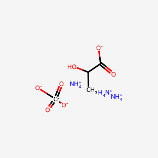 CC(O)C(=O)[O-].[NH4+].[NH4+].[NH4+].[O]=[Cr](=[O])([O-])[O-]